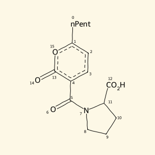 CCCCCc1ccc(C(=O)N2CCCC2C(=O)O)c(=O)o1